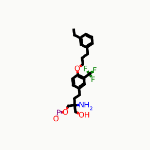 CCc1cccc(CCCOc2ccc(CCC(N)(CO)COP=O)cc2C(F)(F)F)c1